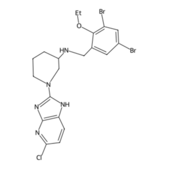 CCOc1c(Br)cc(Br)cc1CNC1CCCN(c2nc3nc(Cl)ccc3[nH]2)C1